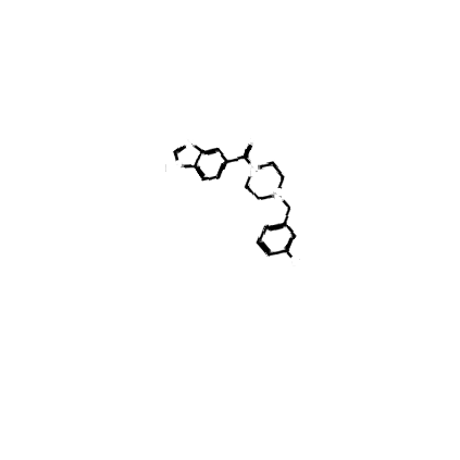 O=C(c1ccc2[nH]cnc2c1)N1CCN(Cc2cccc(Cl)c2)CC1